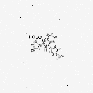 CC(C)c1ccc(C(NC(=O)C2CC(F)CC2C(=O)O)c2ccccc2)cc1